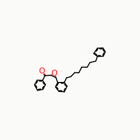 O=C(c1ccccc1)C1OC1c1ccccc1CCCCCCCCc1ccccc1